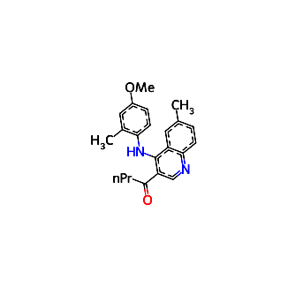 CCCC(=O)c1cnc2ccc(C)cc2c1Nc1ccc(OC)cc1C